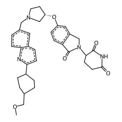 COCC1CCC(c2ccc3cc(CN4CC[C@H](Oc5ccc6c(c5)CN(C5CCC(=O)NC5=O)C6=O)C4)ccc3n2)CC1